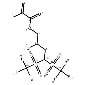 C=C(C)C(=O)OCC(O)CC(S(=O)(=O)C(F)(F)F)S(=O)(=O)C(F)(F)F